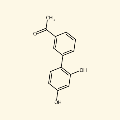 CC(=O)c1cccc(-c2ccc(O)cc2O)c1